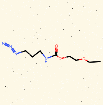 CCOCCOC(=O)NCCCN=[N+]=[N-]